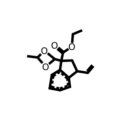 C=CC1CC(C(=O)OCC)(C2OC(C)O2)c2ccccc21